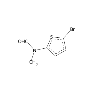 CN(C=O)c1ccc(Br)s1